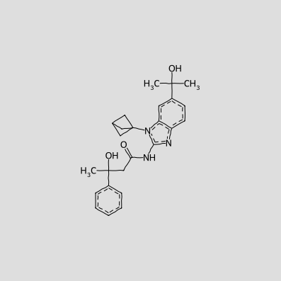 CC(C)(O)c1ccc2nc(NC(=O)CC(C)(O)c3ccccc3)n(C34CC(C3)C4)c2c1